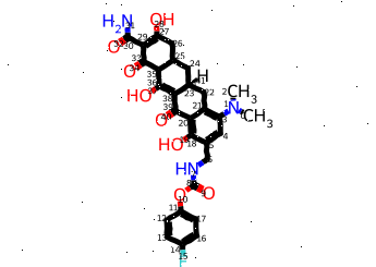 CN(C)c1cc(CNC(=O)Oc2ccc(F)cc2)c(O)c2c1C[C@H]1CC3CC(O)=C(C(N)=O)C(=O)C3C(O)=C1C2=O